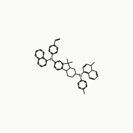 C=Cc1ccc(N(c2ccc3c(c2)C(C)(C)C2CC(N(C4=C5C=CC=CC5C(C)C=C4)c4ccc(C)cc4)CCC32)c2cccc3ccccc23)cc1